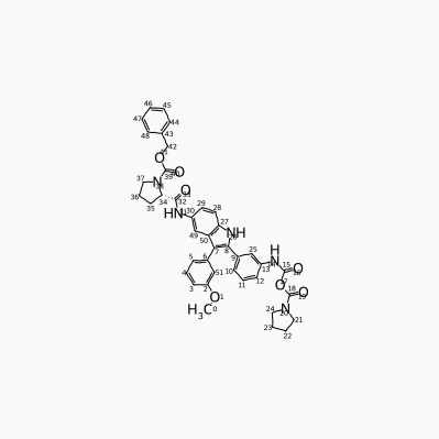 COc1cccc(-c2c(-c3cccc(NC(=O)OC(=O)N4CCCC4)c3)[nH]c3ccc(NC(=O)[C@@H]4CCCN4C(=O)OCc4ccccc4)cc23)c1